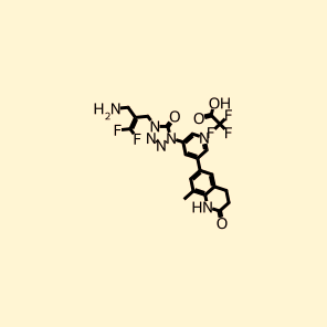 Cc1cc(-c2cncc(-n3nnn(CC(CN)=C(F)F)c3=O)c2)cc2c1NC(=O)CC2.O=C(O)C(F)(F)F